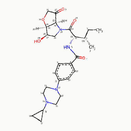 CC[C@H](C)[C@H](NC(=O)c1ccc(N2CCN(C3CC3)CC2)cc1)C(=O)N1C[C@@H](O)[C@H]2OCC(=O)[C@H]21